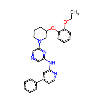 CCOc1ccccc1O[C@@H]1CCCN(c2cncc(Nc3cc(-c4ccccc4)ccn3)n2)C1